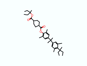 CCC(C)(CC)OC(=O)C1CCC(C(=O)Oc2c(C)cc(C(C)(C)c3cc(C)c(C(C)(CC)CC)c(C)c3)cc2C)CC1